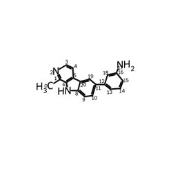 Cc1nccc2c1[nH]c1ccc(-c3cccc(N)c3)cc12